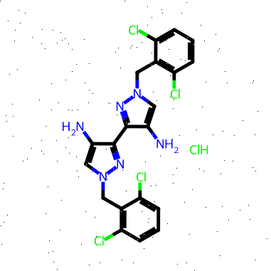 Cl.Nc1cn(Cc2c(Cl)cccc2Cl)nc1-c1nn(Cc2c(Cl)cccc2Cl)cc1N